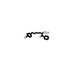 O=C(O)C(CCCCCc1ccc(Cl)cc1)C(=O)c1ccccc1